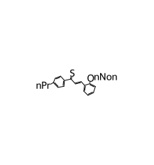 CCCCCCCCCOc1ccccc1C=CC(=S)c1ccc(CCC)cc1